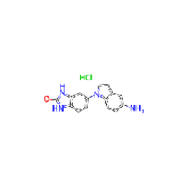 Cl.Nc1ccc2c(ccn2-c2ccc3[nH]c(=O)[nH]c3c2)c1